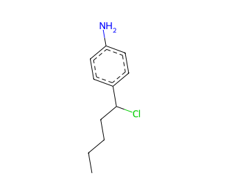 CCCCC(Cl)c1ccc(N)cc1